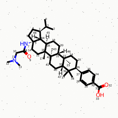 CC(C)[C@@H]1CC[C@]2(NC(=O)CN(C)C)CC[C@]3(C)[C@H](CC[C@@H]4[C@@]5(C)CC[C@@H](c6ccc(C(=O)O)cc6)C(C)(C)[C@@H]5CC[C@]43C)[C@@H]12